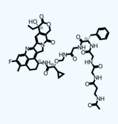 CC[C@@]1(O)C(=O)OCc2c1cc1n(c2=O)Cc2c-1nc1cc(F)c(C)c3c1c2[C@@H](NC(=O)[C@H](OCNC(=O)CNC(=O)[C@H](Cc1ccccc1)NC(=O)CNC(=O)CNC(=O)CCNC(C)=O)C1CC1)CC3